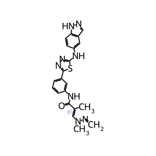 C=NN(C)/C=C(\C)C(=O)Nc1cccc(-c2nnc(Nc3ccc4[nH]ncc4c3)s2)c1